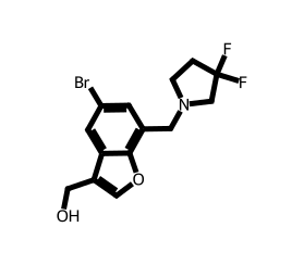 OCc1coc2c(CN3CCC(F)(F)C3)cc(Br)cc12